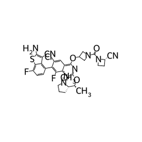 C[C@H](Oc1nc(OC2CN(C(=O)N3CC[C@H]3C#N)C2)c2cc(Cl)c(-c3ccc(F)c4sc(N)c(C#N)c34)c(F)c2n1)[C@@H]1CCCN1C